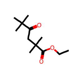 CCOC(=O)C(C)(C)CC(=O)C(C)(C)C